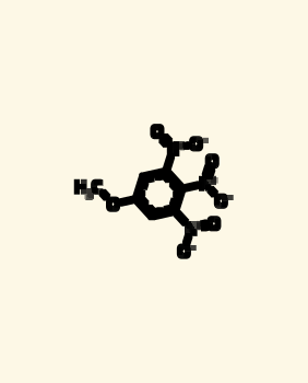 COc1cc([N+](=O)[O-])c([N+](=O)[O-])c([N+](=O)[O-])c1